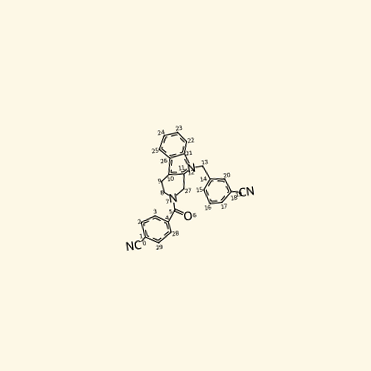 N#Cc1ccc(C(=O)N2CCc3c(n(Cc4cccc(C#N)c4)c4ccccc34)C2)cc1